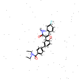 CCN(CC)C(=O)c1ccc(-c2ccc3oc(-c4ccc(F)cc4)c(C(=O)NC)c3c2)cc1